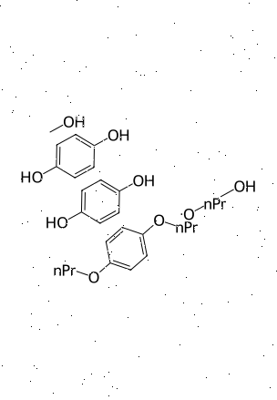 CCCOc1ccc(OCCC)cc1.CCC[O].CO.CO.Oc1ccc(O)cc1.Oc1ccc(O)cc1